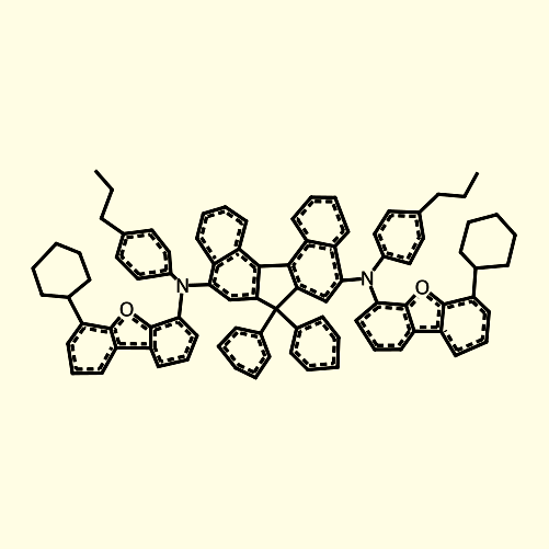 CCCc1ccc(N(c2cc3c(c4ccccc24)-c2c(cc(N(c4ccc(CCC)cc4)c4cccc5c4oc4c(C6CCCCC6)cccc45)c4ccccc24)C3(c2ccccc2)c2ccccc2)c2cccc3c2oc2c(C4CCCCC4)cccc23)cc1